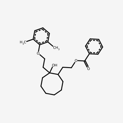 Cc1cccc(C)c1OCCC1(O)CCCCCCC1CCOC(=O)c1ccccc1